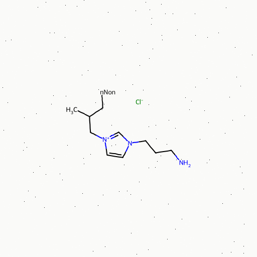 CCCCCCCCCCC(C)C[n+]1ccn(CCCN)c1.[Cl-]